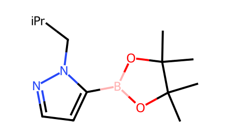 CC(C)Cn1nccc1B1OC(C)(C)C(C)(C)O1